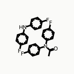 CC(=O)N(c1ccc(F)cc1)c1ccc(F)cc1.Fc1ccc(Nc2ccc(F)cc2)cc1